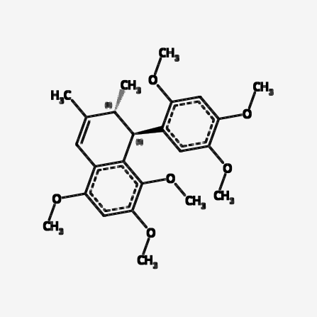 COc1cc(OC)c([C@H]2c3c(c(OC)cc(OC)c3OC)C=C(C)[C@@H]2C)cc1OC